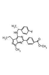 CCc1nn(C)c2nc(-c3ccc(C(=O)OC)cc3)nc(N[C@H](C)c3ccc(F)cc3)c12